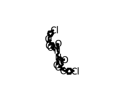 CC(C)(Oc1ccc(Cl)cc1)C(=O)CN1C(=O)CN(CCN2CC(=O)N(CC(=O)C(C)(C)Oc3ccc(Cl)cc3)C(=O)C2)CC1=O